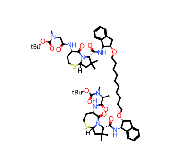 C[C@@H](C(=O)N[C@H]1CCS[C@H]2CC(C)(C)[C@@H](C(=O)N[C@H]3c4ccccc4C[C@H]3OCCCCCCCCCCO[C@@H]3Cc4ccccc4C3NC(=O)[C@H]3N4C(=O)[C@@H](NC(=O)CN(C)C(=O)OC(C)(C)C)CCS[C@H]4CC3(C)C)N2C1=O)N(C)C(=O)OC(C)(C)C